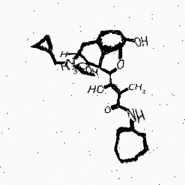 C/C(C(=O)NC1CCCCCC1)=C(/O)[C@@H]1Oc2c(O)ccc3c2[C@@]12CCN(CC1CC1)[C@H](C3)[C@@]2(C)O